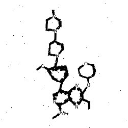 CCc1nc2c(NC)ncc(-c3ccc(N4CCC(N5CCN(C)CC5)CC4)c(OC)c3)c2nc1OC1CCOCC1